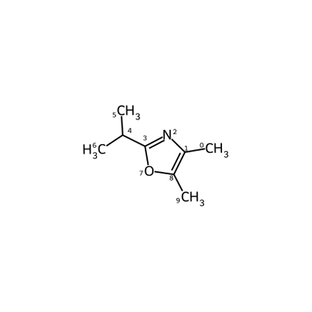 Cc1nc(C(C)C)oc1C